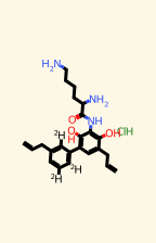 Cl.[2H]c1cc(CC=C)c([2H])c(-c2cc(CC=C)c(O)c(NC(=O)C(N)CCCCN)c2O)c1[2H]